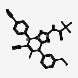 CC1=C(C#N)[C@@H](c2ccc(C#N)cc2)n2nc(NC(=O)C(C)(C)C)nc2N1c1cccc(CF)c1